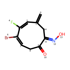 C=C1/C=C(F)\C(Br)=C/CC(=O)/C(=N/O)C1